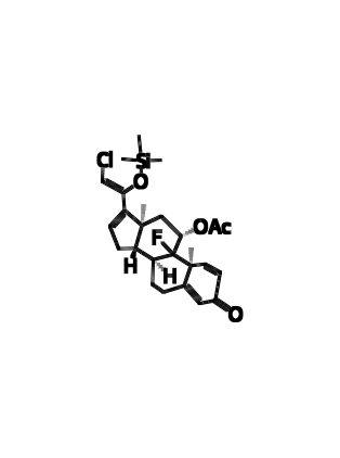 CC(=O)O[C@H]1C[C@]2(C)C(C(=CCl)O[Si](C)(C)C)=CC[C@H]2[C@@H]2CCC3=CC(=O)C=C[C@]3(C)C12F